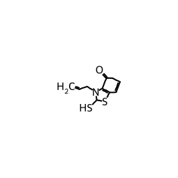 C=CCN1C2=C(C=CCC2=O)SC1S